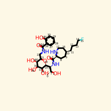 C[C@@H](O)[C@@H](NC(=O)[C@@H]1CC[C@H](CCCCF)CCN1)[C@H]1OC(CNC(=O)c2ccccc2O)[C@H](O)C(O)C1O